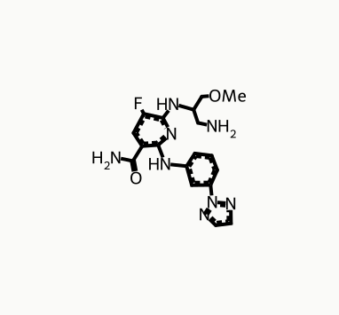 COCC(CN)Nc1nc(Nc2cccc(-n3nccn3)c2)c(C(N)=O)cc1F